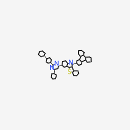 c1ccc(-c2ccc(-c3nc(-c4ccccc4)cc(-c4ccc5nc(-c6ccc7c8ccccc8c8ccccc8c7c6)c6c7ccccc7sc6c5c4)n3)cc2)cc1